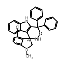 CN1C[C@@]2(NOC(c3ccccc3)(c3ccccc3)c3[nH]c4ccccc4c32)c2c(Cl)cccc21